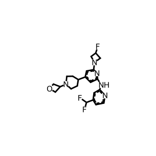 FC1CN(c2cc(C3CCN(C4COC4)CC3)cc(Nc3cc(C(F)F)ccn3)n2)C1